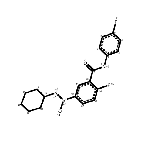 O=C(Nc1ccc(F)cc1)c1cc([S+]([O-])NC2CCCCC2)ccc1F